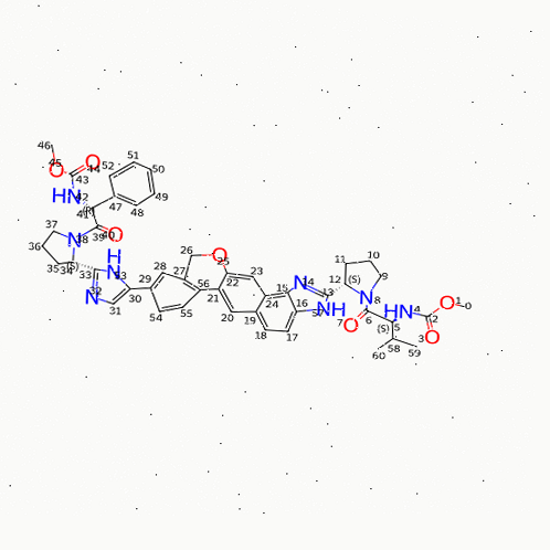 COC(=O)N[C@H](C(=O)N1CCC[C@H]1c1nc2c(ccc3cc4c(cc32)OCc2cc(-c3cnc([C@@H]5CCCN5C(=O)[C@H](NC(=O)OC)c5ccccc5)[nH]3)ccc2-4)[nH]1)C(C)C